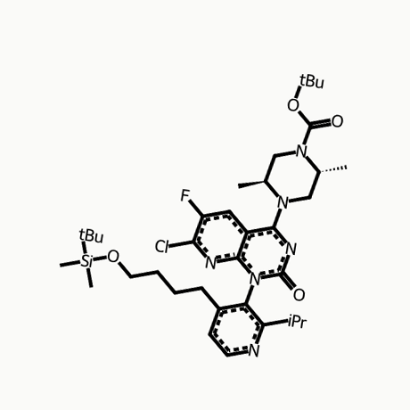 CC(C)c1nccc(CCCCO[Si](C)(C)C(C)(C)C)c1-n1c(=O)nc(N2C[C@@H](C)N(C(=O)OC(C)(C)C)C[C@@H]2C)c2cc(F)c(Cl)nc21